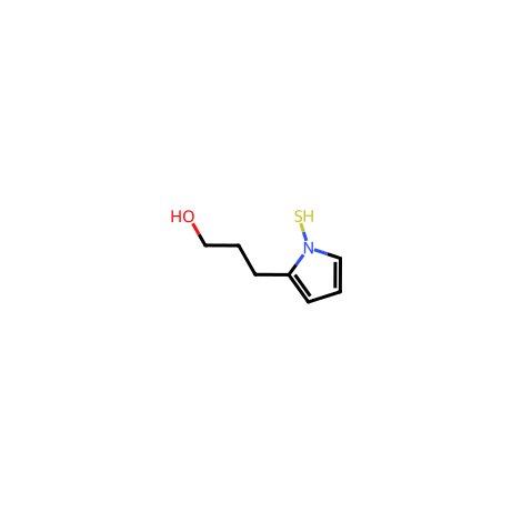 OCCCc1cccn1S